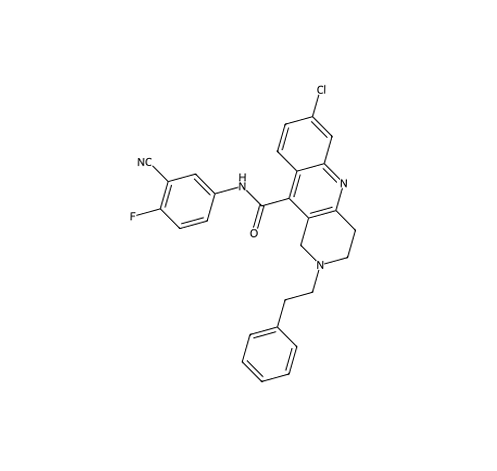 N#Cc1cc(NC(=O)c2c3c(nc4cc(Cl)ccc24)CCN(CCc2ccccc2)C3)ccc1F